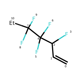 C=CC(F)C(F)(F)C(F)(F)CC